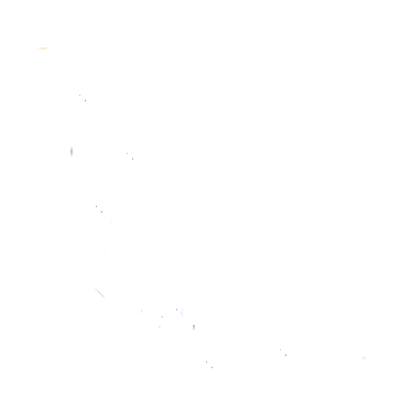 O=C(/C=C/c1cccc(/C=C/C(=O)N2CC(CCl)c3c2cc([N+](=O)[O-])c2cc(S(=O)(=O)NCCOP(=O)(O)O)ccc32)c1)N1CC(CCl)c2c1cc([N+](=O)[O-])c1cc(S(=O)(=O)NCCOP(=O)(O)O)ccc21